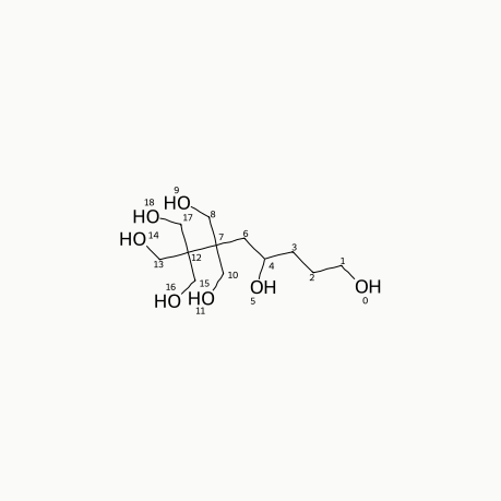 OCCCC(O)CC(CO)(CO)C(CO)(CO)CO